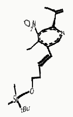 C=C(C)c1ncc(C=CCCO[Si](C)(C)C(C)(C)C)c(C)c1[N+](=O)[O-]